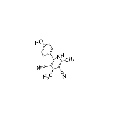 CC1=C(C#N)[C@@H](C)C(C#N)=C(c2ccc(O)cc2)N1